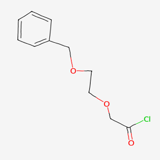 O=C(Cl)COCCOCc1ccccc1